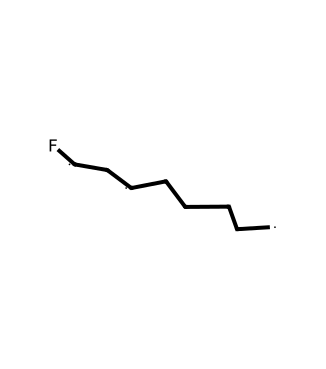 [CH2]CCCC[CH]C[CH]F